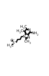 Cc1nc(N)c2nc(C)n(CCCC[S+](C)[O-])c2c1C